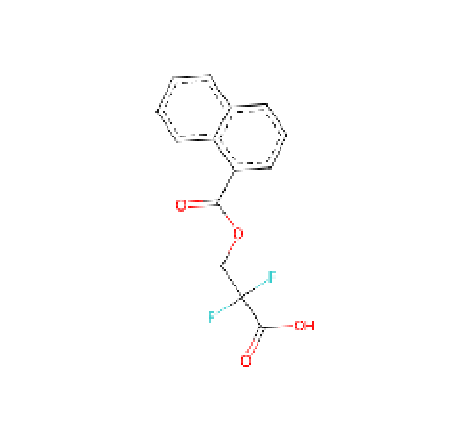 O=C(OCC(F)(F)C(=O)O)c1cccc2ccccc12